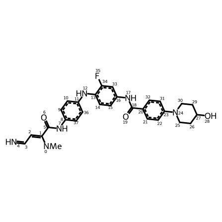 CN/C(=C\C=N)C(=O)Nc1ccc(Nc2ccc(NC(=O)c3ccc(N4CCC(O)CC4)cc3)cc2F)cc1